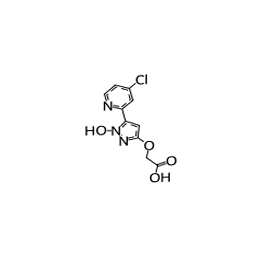 O=C(O)COc1cc(-c2cc(Cl)ccn2)n(O)n1